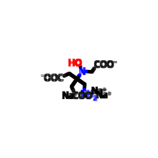 NCC(CC(=O)[O-])(CC(=O)[O-])N(O)CC(=O)[O-].[Na+].[Na+].[Na+]